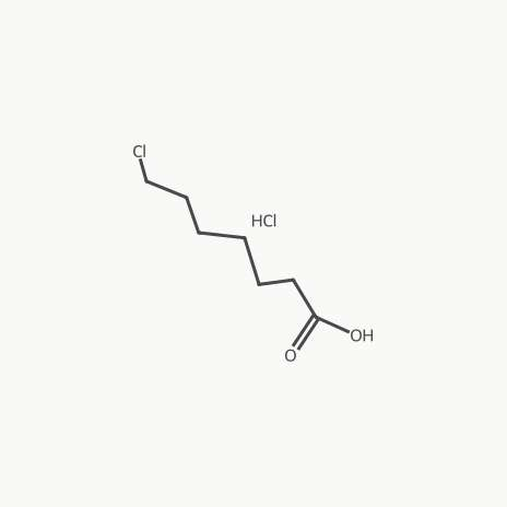 Cl.O=C(O)CCCCCCCl